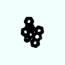 c1ccc2c(c1)Oc1cccc(-n3c4ccccc4c4ccccc43)c1C21c2cccnc2-c2ncccc21